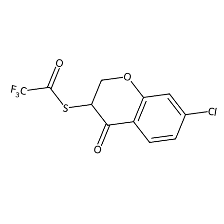 O=C1c2ccc(Cl)cc2OCC1SC(=O)C(F)(F)F